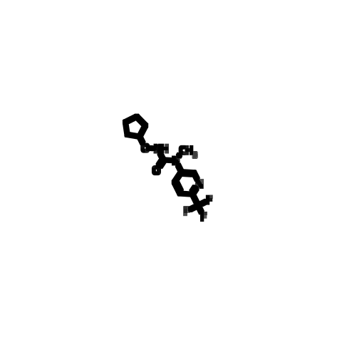 CN(C(=O)NOC1CCCC1)c1ccc(C(F)(F)F)nc1